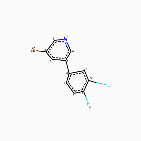 Fc1ccc(-c2cncc(Br)c2)cc1F